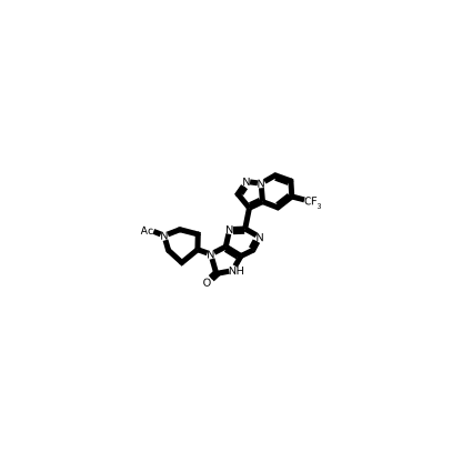 CC(=O)N1CCC(n2c(=O)[nH]c3cnc(-c4cnn5ccc(C(F)(F)F)cc45)nc32)CC1